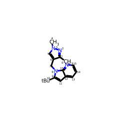 Cc1nn(C)cc1Cn1c(C(C)(C)C)cc2cccnc21